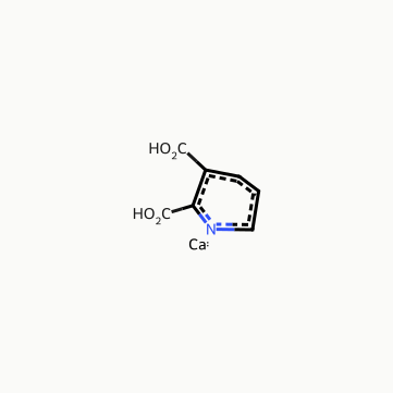 O=C(O)c1cccnc1C(=O)O.[Ca]